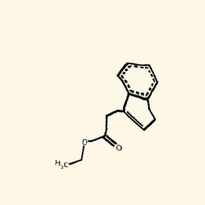 CCOC(=O)CC1=CCc2ccccc21